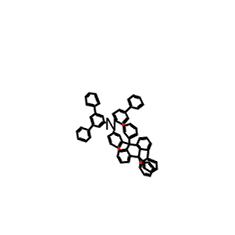 c1ccc(-c2ccc(N(c3cc(-c4ccccc4)cc(-c4ccccc4)c3)c3cccc(C4(c5ccccc5)c5ccccc5C5(c6ccccc6)c6ccccc6-c6cccc4c65)c3)cc2)cc1